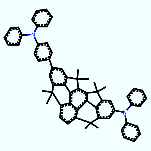 CC1(C)c2cc(-c3ccc(N(c4ccccc4)c4ccccc4)cc3)cc3c2-c2c1c1c4c5c(ccc(c25)C3(C)C)C(C)(C)c2cc(N(c3ccccc3)c3ccccc3)cc(c2-4)C1(C)C